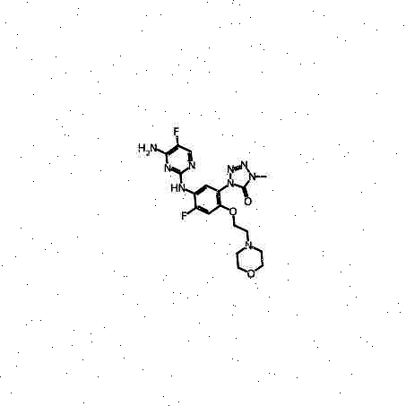 Cn1nnn(-c2cc(Nc3ncc(F)c(N)n3)c(F)cc2OCCN2CCOCC2)c1=O